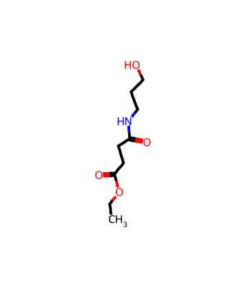 CCOC(=O)CCC(=O)NCCCO